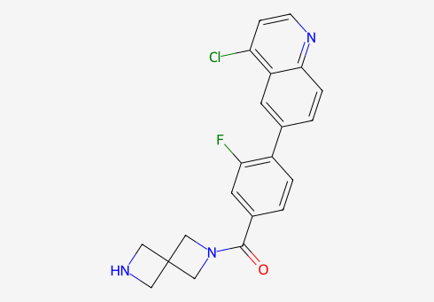 O=C(c1ccc(-c2ccc3nccc(Cl)c3c2)c(F)c1)N1CC2(CNC2)C1